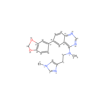 CCn1cnc(CCN(C)c2ncnc3ccc(-c4ccc5c(c4)OCO5)cc23)c1